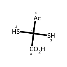 CC(=O)C(S)(S)C(=O)O